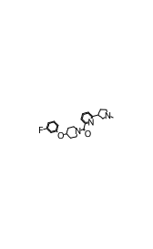 CN1CCC(c2cccc(C(=O)N3CCC(Oc4cccc(F)c4)CC3)n2)C1